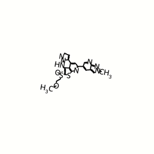 COCC[S@@+]([O-])c1sc2nc(-c3cnc4nn(C)cc4c3)cc3c2c1[nH]n1nccc31